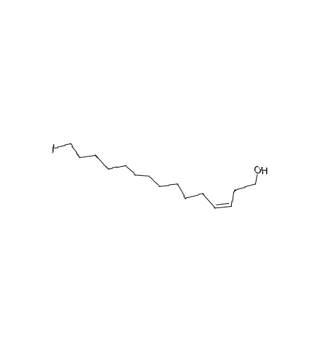 OCC/C=C\CCCCCCCCCCCI